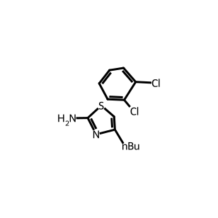 CCCCc1csc(N)n1.Clc1ccccc1Cl